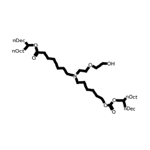 CCCCCCCCCCC(CCCCCCCC)OC(=O)CCCCCCN(CCCCCCOC(=O)OC(CCCCCCCC)CCCCCCCCCC)CCOCCO